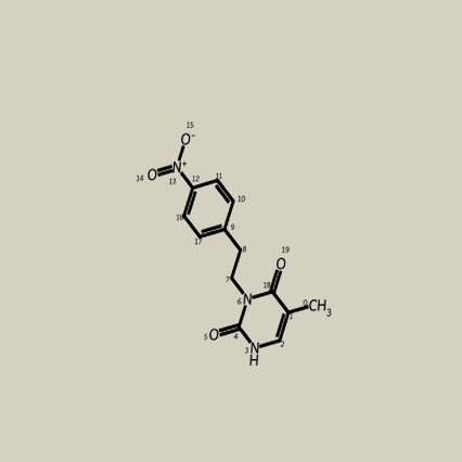 Cc1c[nH]c(=O)n(CCc2ccc([N+](=O)[O-])cc2)c1=O